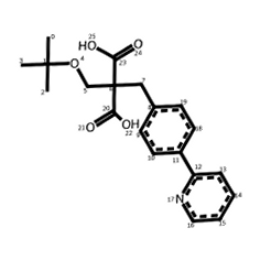 CC(C)(C)OCC(Cc1ccc(-c2ccccn2)cc1)(C(=O)O)C(=O)O